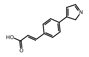 O=C(O)C=Cc1ccc(C2=CC=NC2)cc1